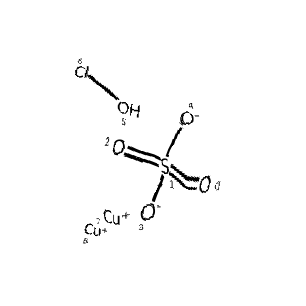 O=S(=O)([O-])[O-].OCl.[Cu+].[Cu+]